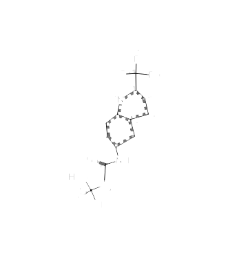 CC(C)(C)OC(=O)Nc1ccc2nc(C(F)(F)F)ccc2c1